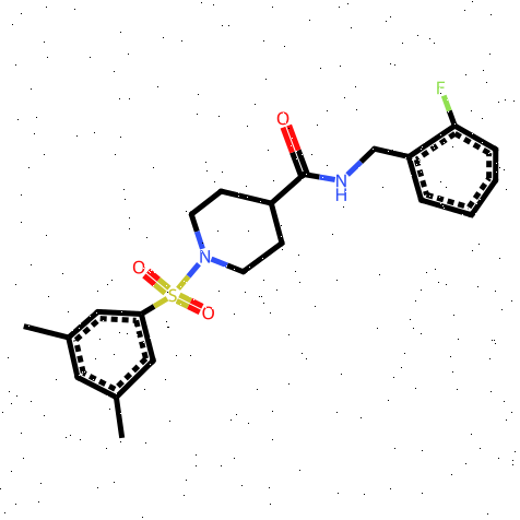 Cc1cc(C)cc(S(=O)(=O)N2CCC(C(=O)NCc3ccccc3F)CC2)c1